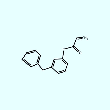 C=CC(=O)Oc1cccc(Cc2ccccc2)c1